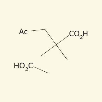 CC(=O)CC(C)(C)C(=O)O.CC(=O)O